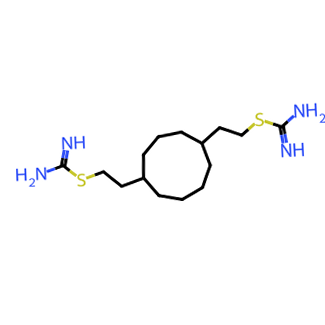 N=C(N)SCCC1CCCCC(CCSC(=N)N)CCC1